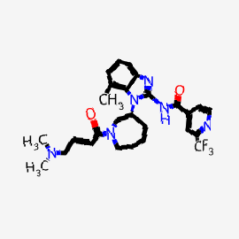 Cc1cccc2nc(NC(=O)c3ccnc(C(F)(F)F)c3)n([C@H]3CCCCN(C(=O)/C=C/CN(C)C)C3)c12